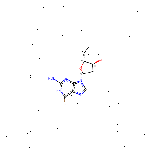 CC[C@H]1O[C@@H](n2cnc3c(=S)[nH]c(N)nc32)C[C@@H]1O